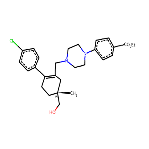 CCOC(=O)c1ccc(N2CCN(CC3=C(c4ccc(Cl)cc4)CC[C@@](C)(CO)C3)CC2)cc1